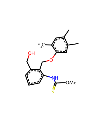 COC(=S)Nc1cccc(CO)c1COc1cc(C)c(C)cc1C(F)(F)F